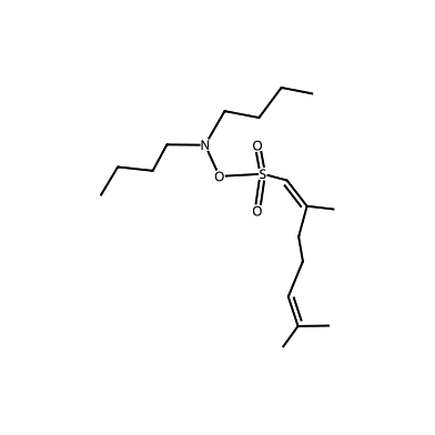 CCCCN(CCCC)OS(=O)(=O)C=C(C)CCC=C(C)C